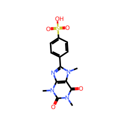 Cn1c(=O)c2c(nc(-c3ccc(S(=O)(=O)O)cc3)n2C)n(C)c1=O